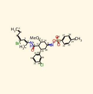 C=C/C=C(Br)\C=C(/C)NC(=O)C1[C@@H](OC)C/C(=N\OS(=O)(=O)c2ccc(C)cc2)C[C@H]1c1cccc(Cl)c1